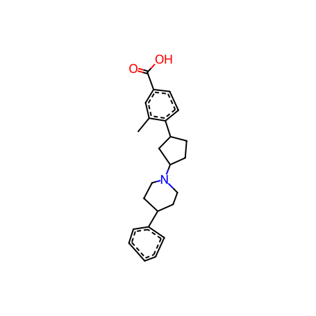 Cc1cc(C(=O)O)ccc1C1CCC(N2CCC(c3ccccc3)CC2)C1